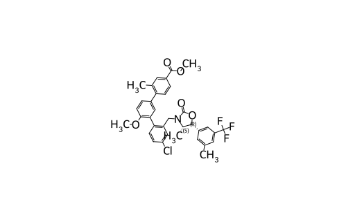 COC(=O)c1ccc(-c2ccc(OC)c(-c3ccc(Cl)cc3CN3C(=O)O[C@H](c4cc(C)cc(C(F)(F)F)c4)[C@@H]3C)c2)c(C)c1